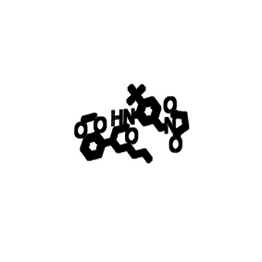 CCCCCC(CC(=O)Nc1cc(CN2C(=O)CCC2=O)ccc1C(C)(C)C)c1cccc2c1OCCO2